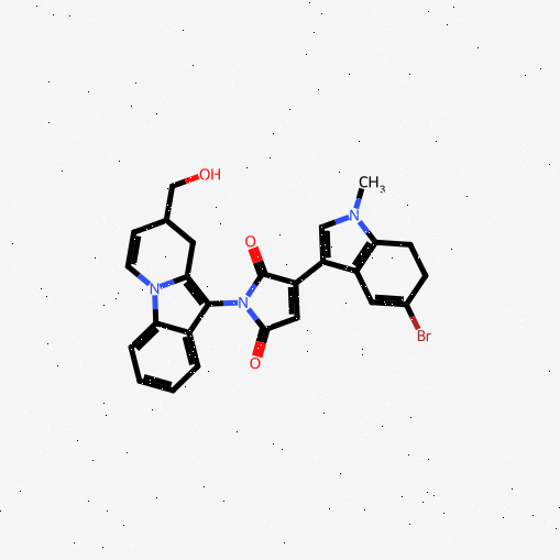 Cn1cc(C2=CC(=O)N(c3c4n(c5ccccc35)C=CC(CO)C4)C2=O)c2c1CCC(Br)=C2